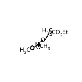 CCOC(=O)[C@H](C)SCC#CCOCCc1nc(-c2ccc(C)cc2)oc1C